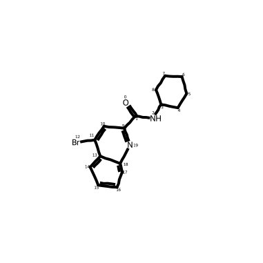 O=C(NC1CCCCC1)c1cc(Br)c2ccccc2n1